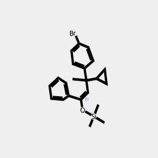 CC(/C=C(/O[Si](C)(C)C)c1ccccc1)(c1ccc(Br)cc1)C1CC1